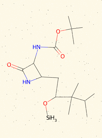 CC(C)C(C)(C)C(CC1NC(=O)C1NC(=O)OC(C)(C)C)O[SiH3]